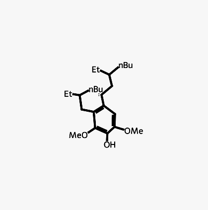 CCCCC(CC)C[C]c1cc(OC)c(O)c(OC)c1CC(CC)CCCC